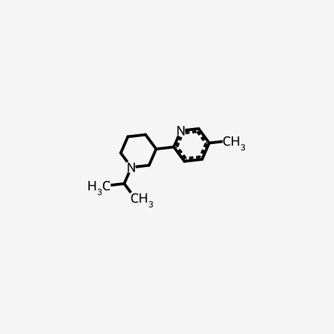 Cc1ccc(C2CCCN(C(C)C)C2)nc1